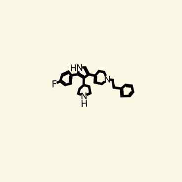 Fc1ccc(-c2[nH]cc(C3=CCN(CCc4ccccc4)CC3)c2C2CCNCC2)cc1